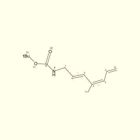 C=C/C=C(C)\C=C\CNC(=O)OC(C)(C)C